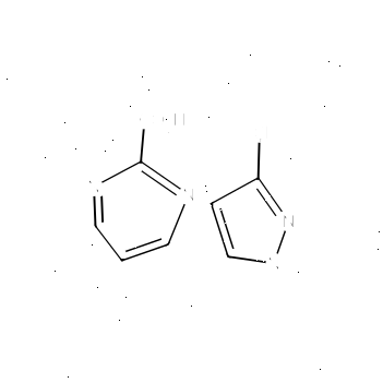 Clc1cc[nH]n1.O=C(O)c1ncccn1